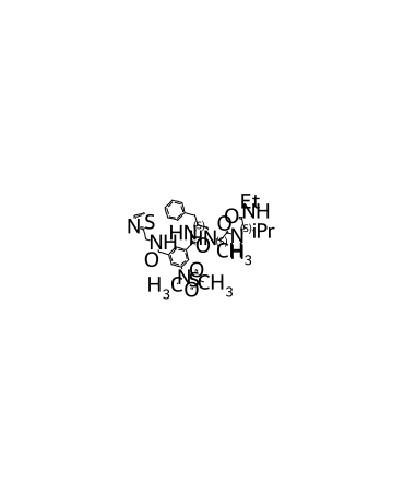 CCNC(=O)[C@@H](NC(=O)[C@H](C)NC[C@H](Cc1ccccc1)NC(=O)c1cc(C(=O)NCc2nccs2)cc(N(C)S(C)(=O)=O)c1)C(C)C